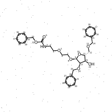 O=C(NCCOCCO[C@H]1O[C@H](COCc2ccccc2)[C@@H](O)[C@H]1OCc1ccccc1)OCc1ccccc1